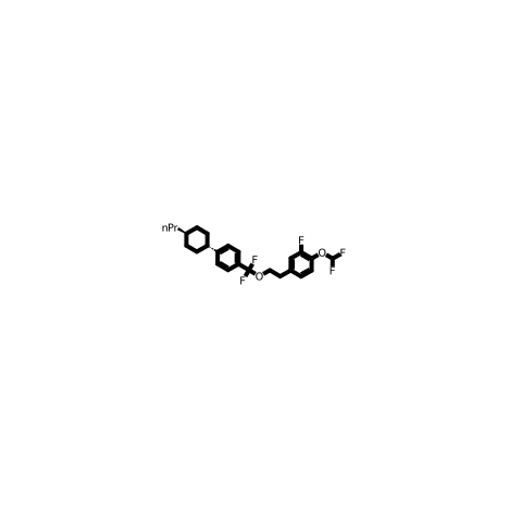 CCC[C@H]1CC[C@H](c2ccc(C(F)(F)OCCc3ccc(OC(F)F)c(F)c3)cc2)CC1